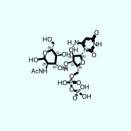 CC(=O)N[C@H]1C(O)O[C@H](CO)[C@@H](O)[C@@H]1O.Nc1cc(=O)[nH]c(=O)n1[C@@H]1O[C@H](COP(=O)(O)OP(=O)(O)O)[C@@H](O)[C@H]1O